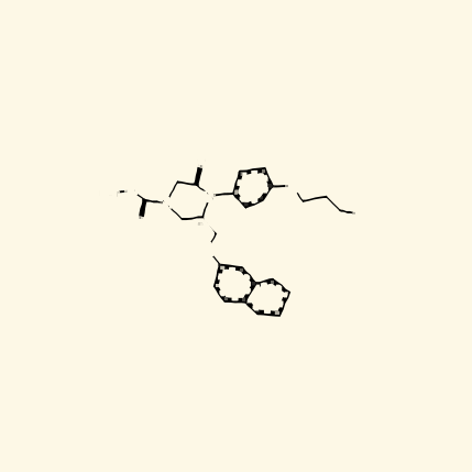 CC(C)(C)OC(=O)N1CC(=O)N(c2ccc(OCCCO)cc2)[C@@H](COc2ccc3ccccc3c2)C1